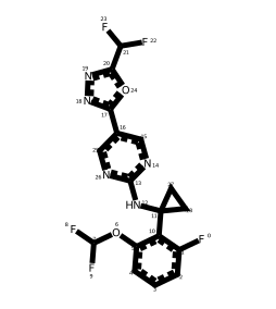 Fc1cccc(OC(F)F)c1C1(Nc2ncc(-c3nnc(C(F)F)o3)cn2)CC1